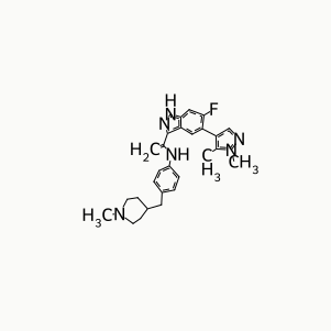 C=C(Nc1ccc(CC2CCN(C)CC2)cc1)c1n[nH]c2cc(F)c(-c3cnn(C)c3C)cc12